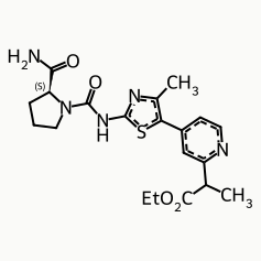 CCOC(=O)C(C)c1cc(-c2sc(NC(=O)N3CCC[C@H]3C(N)=O)nc2C)ccn1